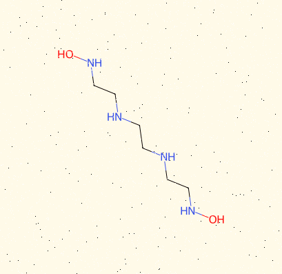 ONCCNCCNCCNO